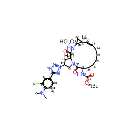 CN(C)c1c(F)cc(-c2nnn(C3C[C@H]4C(=O)N[C@@]5(C(=O)O)C[C@H]5/C=C\CCCCC[C@@H](NC(=O)OC(C)(C)C)C(=O)N4C3)n2)cc1F